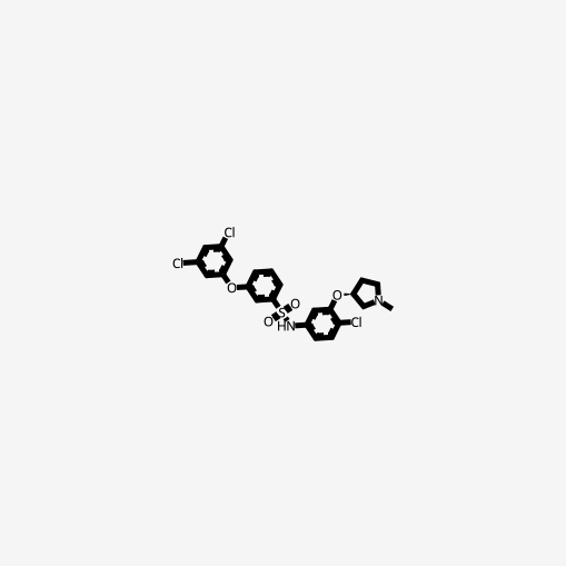 CN1CC[C@@H](Oc2cc(NS(=O)(=O)c3cccc(Oc4cc(Cl)cc(Cl)c4)c3)ccc2Cl)C1